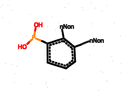 CCCCCCCCCc1cccc(P(O)O)c1CCCCCCCCC